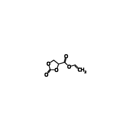 C=COC(=O)C1COC(=O)O1